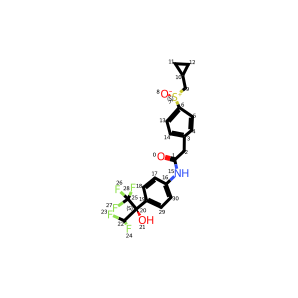 O=C(Cc1ccc([S@+]([O-])CC2CC2)cc1)Nc1ccc([C@](O)(C(F)F)C(F)(F)F)cc1